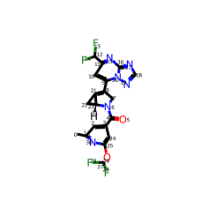 Cc1cc(C(=O)N2CC(c3cc(C(F)F)nc4ncnn34)=C3C[C@H]32)cc(OC(F)F)n1